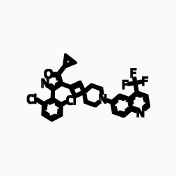 FC(F)(F)c1ccnc2ccc(N3CCC4(C=C(c5c(-c6c(Cl)cccc6Cl)noc5C5CC5)C4)CC3)cc12